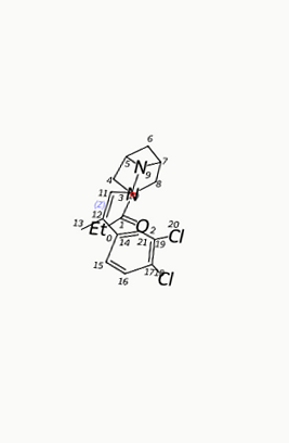 CCC(=O)N1CC2CC(C1)N2C/C=C(/C)c1ccc(Cl)c(Cl)c1